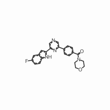 O=C(c1ccc(-c2cncc(-c3cc4cc(F)ccc4[nH]3)n2)cc1)N1CCOCC1